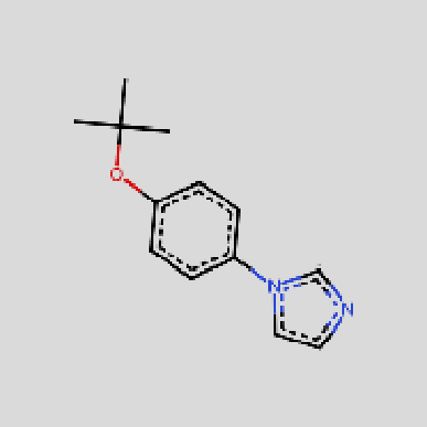 CC(C)(C)Oc1ccc(-n2[c]ncc2)cc1